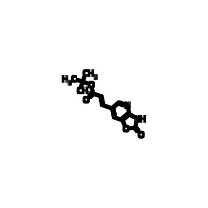 CC(C)(C)OC(=O)/C=C/c1cnc2[nH]c(=O)oc2c1